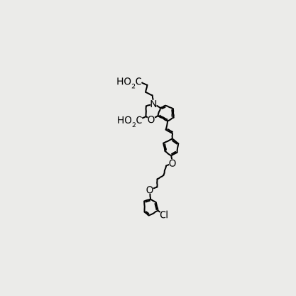 O=C(O)CCCN1CC(C(=O)O)Oc2c(C=Cc3ccc(OCCCCOc4cccc(Cl)c4)cc3)cccc21